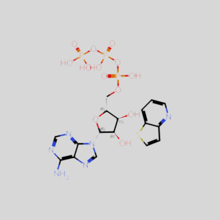 Nc1ncnc2c1ncn2[C@@H]1O[C@H](COP(=O)(O)OP(=O)(O)OP(=O)(O)O)[C@@H](O)[C@H]1O.c1cnc2ccsc2c1